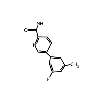 Cc1cc(F)cc(-c2ccc(C(N)=O)nc2)c1